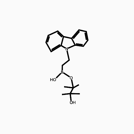 CC(C)(O)C(C)(C)OB(O)CCn1c2ccccc2c2ccccc21